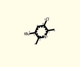 Cc1nc(C)c(C(C)(C)C)cc1Cl